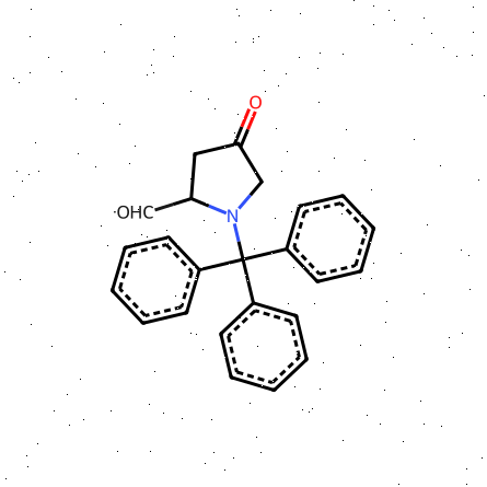 O=[C]C1CC(=O)CN1C(c1ccccc1)(c1ccccc1)c1ccccc1